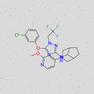 COc1cc(N2CC3CCC(C2)C3Nc2nc(Oc3cccc(Cl)c3)n(CC(F)(F)F)n2)ccn1